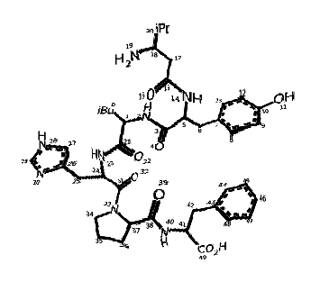 CCC(C)C(NC(=O)C(Cc1ccc(O)cc1)NC(=O)CC(N)C(C)C)C(=O)NC(Cc1c[nH]cn1)C(=O)N1CCCC1C(=O)NC(Cc1ccccc1)C(=O)O